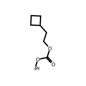 CC(C)OC(=O)OCCC1CCC1